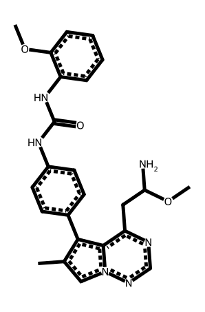 COc1ccccc1NC(=O)Nc1ccc(-c2c(C)cn3ncnc(CC(N)OC)c23)cc1